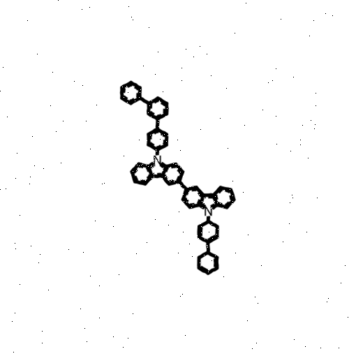 C1=CCC(C2=CCC(n3c4ccccc4c4cc(-c5ccc6c(c5)c5ccccc5n6-c5ccc(-c6cccc(-c7ccccc7)c6)cc5)ccc43)C=C2)C=C1